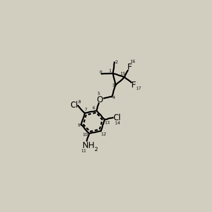 CC1(C)C(COc2c(Cl)cc(N)cc2Cl)C1(F)F